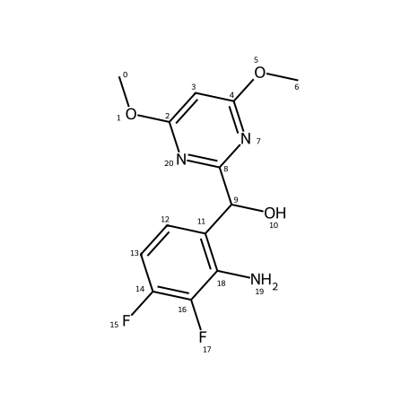 COc1cc(OC)nc(C(O)c2ccc(F)c(F)c2N)n1